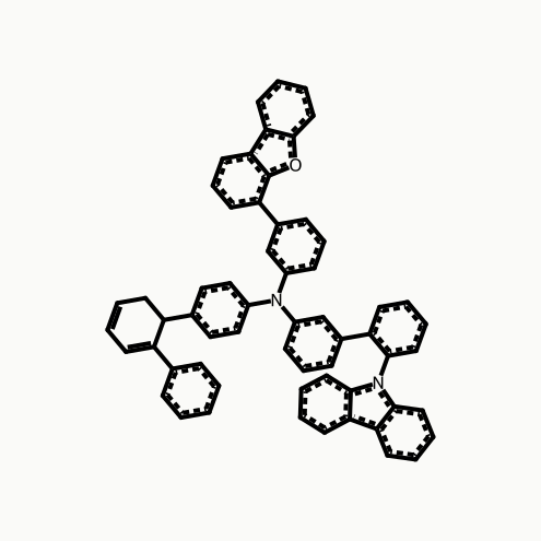 C1=CCC(c2ccc(N(c3cccc(-c4ccccc4-n4c5ccccc5c5ccccc54)c3)c3cccc(-c4cccc5c4oc4ccccc45)c3)cc2)C(c2ccccc2)=C1